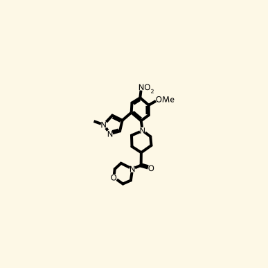 COc1cc(N2CCC(C(=O)N3CCOCC3)CC2)c(-c2cnn(C)c2)cc1[N+](=O)[O-]